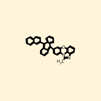 Cc1nc2cccc3c2n1-c1ccc(-c2c4ccccc4c(-c4ccc5ccccc5c4)c4ccccc24)cc1O3